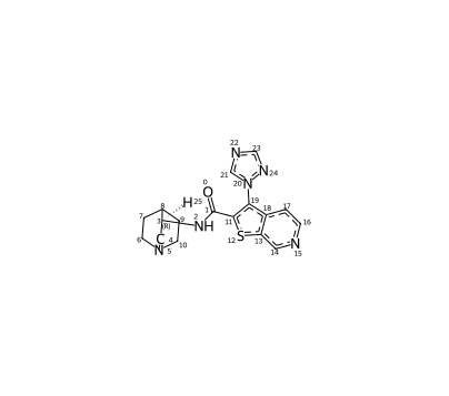 O=C(N[C@H]1CN2CCC1CC2)c1sc2cnccc2c1-n1cncn1